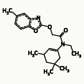 CCN(C(=O)COc1nc2cc(C)ccc2o1)C1=CC(C)CC(C)(C)C1